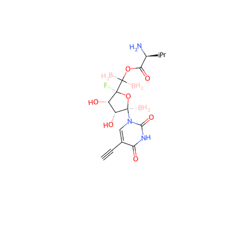 BC(B)(OC(=O)[C@@H](N)C(C)C)[C@@]1(F)O[C@@](B)(n2cc(C#C)c(=O)[nH]c2=O)[C@H](O)[C@@H]1O